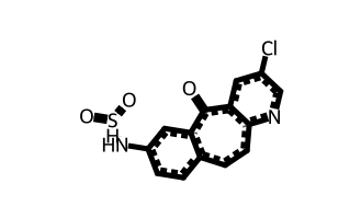 O=c1c2cc(N[SH](=O)=O)ccc2ccc2ncc(Cl)cc12